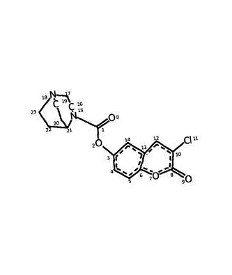 O=C(Oc1ccc2oc(=O)c(Cl)cc2c1)N1CCN2CCC1CC2